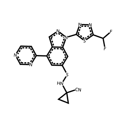 N#CC1(NSc2cc(-c3ccncn3)c3cnn(-c4nnc(C(F)F)s4)c3c2)CC1